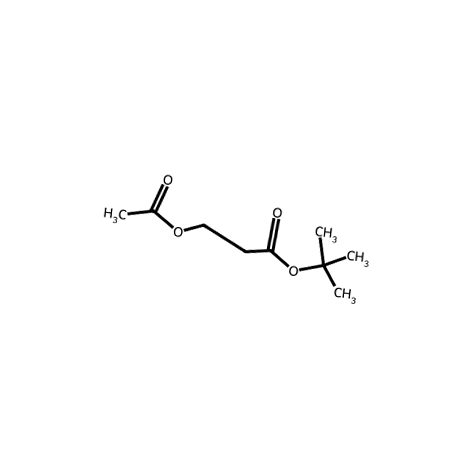 CC(=O)OCCC(=O)OC(C)(C)C